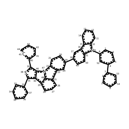 c1ccc(-c2cccc(-n3c4ccccc4c4cc(-c5ccc6c(c5)c5cccc7c8c(-c9ccccc9)sc(-c9ccccc9)c8n6c57)ccc43)c2)cc1